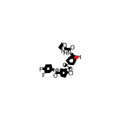 C[C@H]1CC2CC(S(=O)(=O)c3cc(C(=O)Nc4ccc(F)c(F)c4)ccc3Cl)CC1[C@@]2(O)CNC(=O)c1ncco1